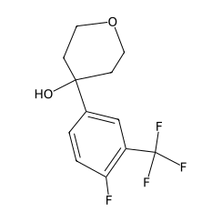 OC1(c2ccc(F)c(C(F)(F)F)c2)CCOCC1